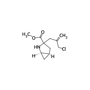 C=C(CCl)CC1(C(=O)OC)C[C@H]2C[C@H]2N1